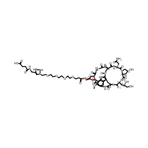 CC[C@H](C)[C@@H]1NC(=O)CCNC(=O)[C@@H]2Cc3c([nH]c4c(CSCCNC(=O)CCOCCOCCOCCOCCN5C=C(CNC(=O)CCC(=O)O)NN5)c(OC)ccc34)[S+]([O-])C[C@H](NC(=O)CNC1=O)C(=O)N[C@@H](CC(N)=O)C(=O)N1C[C@H](O)C[C@H]1C(=O)N[C@@H]([C@@H](C)[C@@H](O)CO)C(=O)N2